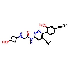 C#Cc1ccc(-c2nnc(NC(=O)CNC3CC(O)C3)cc2C2CC2)c(O)c1